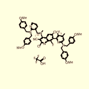 COc1ccc(CN(Cc2ccc(OC)cc2)c2cc(C)c(C(F)(F)F)c(-c3c(Cl)cc4c(N(C)[C@H](C)c5cccnc5N(Cc5ccc(OC)cc5)Cc5ccc(OC)cc5)c(C#N)c(Cl)nc4c3F)n2)cc1.O=C(O)C(F)(F)F